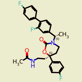 CC(=O)NCC[C@@]1(c2ccc(F)cc2)CCN([C@@H](C)c2ccc(-c3ccc(F)cc3)c(F)c2)C(=O)O1